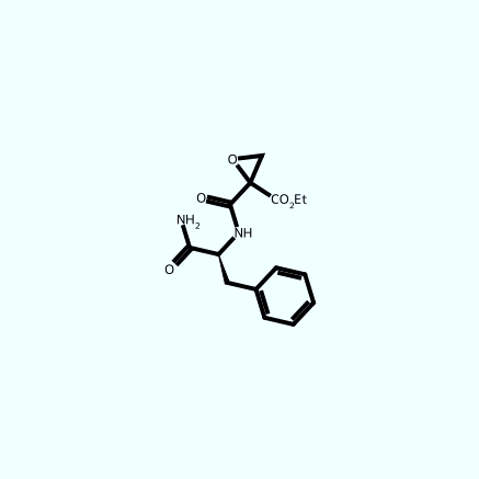 CCOC(=O)C1(C(=O)N[C@@H](Cc2ccccc2)C(N)=O)CO1